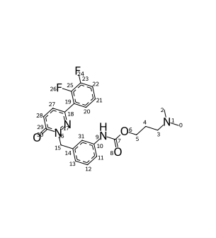 CN(C)CCCOC(=O)Nc1cccc(Cn2nc(-c3cccc(F)c3F)ccc2=O)c1